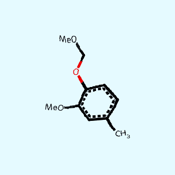 COCOc1ccc(C)cc1OC